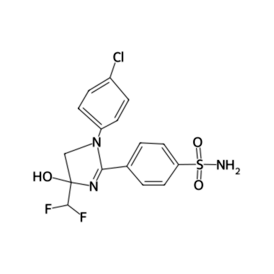 NS(=O)(=O)c1ccc(C2=NC(O)(C(F)F)CN2c2ccc(Cl)cc2)cc1